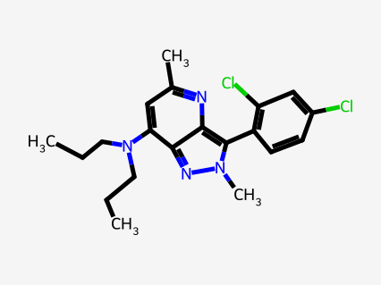 CCCN(CCC)c1cc(C)nc2c(-c3ccc(Cl)cc3Cl)n(C)nc12